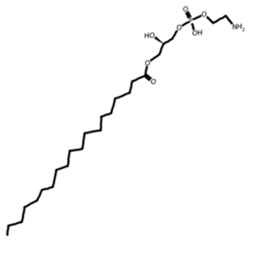 CCCCCCCCCCCCCCCCCCC(=O)OC[C@@H](O)COP(=O)(O)OCCN